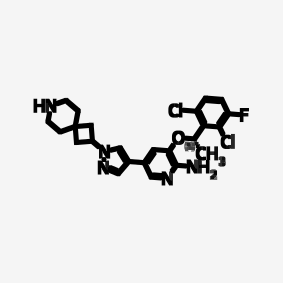 C[C@H](Oc1cc(-c2cnn(C3CC4(CCNCC4)C3)c2)cnc1N)c1c(Cl)ccc(F)c1Cl